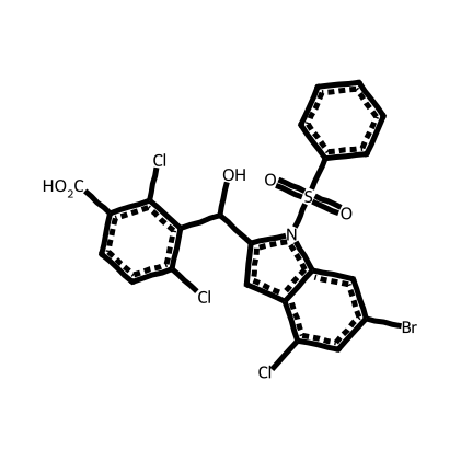 O=C(O)c1ccc(Cl)c(C(O)c2cc3c(Cl)cc(Br)cc3n2S(=O)(=O)c2ccccc2)c1Cl